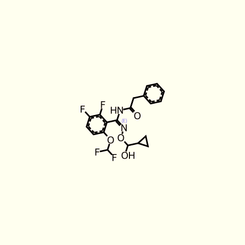 O=C(Cc1ccccc1)N/C(=N/OC(O)C1CC1)c1c(OC(F)F)ccc(F)c1F